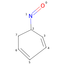 O=NC1C=CC=CC1